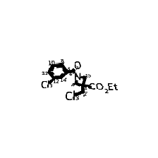 CCOC(=O)C1(CCl)CN(C(=O)c2cccc(Cl)c2)C1